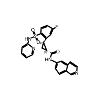 O=C(Nc1ccc2cnccc2c1)[C@@H]1C[C@H]1c1cc(F)ccc1S(=O)(=O)Nc1ccccn1